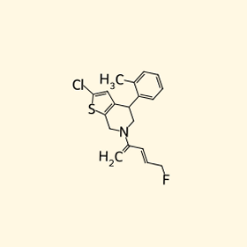 C=C(/C=C/CF)N1Cc2sc(Cl)cc2C(c2ccccc2C)C1